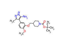 COc1ccc(-c2c(C)n[nH]c2N)cc1OCC1CCN(C(=O)OC(C)(C)C)CC1